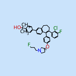 CC(C)(O)c1ccc(-c2ccc3c(c2)CCCC(c2cccc(F)c2Cl)=C3c2ccc(O[C@H]3CCN(CCCF)C3)cc2)cc1